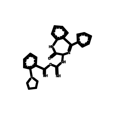 N=C(NC1N=C(c2ccccc2)c2ccccc2NC1=O)OC(=N)c1ccccc1N1CCCC1